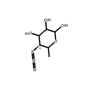 CC(=O)OC1OC(C)[C@@H](N=[N+]=[N-])C(OC(C)=O)C1OC(C)=O